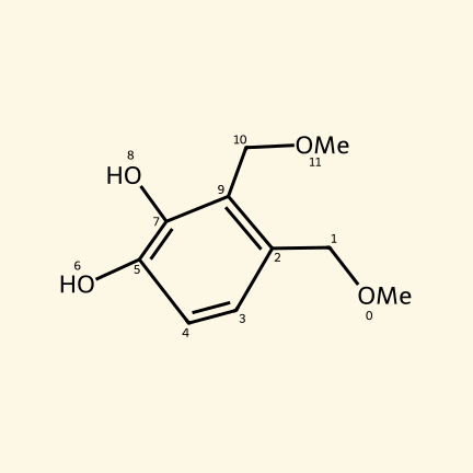 COCc1ccc(O)c(O)c1COC